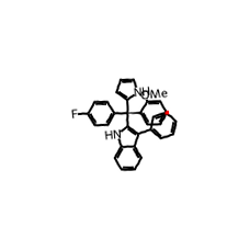 COc1ccccc1[C@@](c1ccc(F)cc1)(c1ccc[nH]1)c1[nH]c2ccccc2c1-c1ccccc1